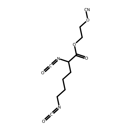 N#COCCOC(=O)C(CCCCN=C=O)N=C=O